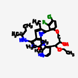 CCOC1C2=C(n3c(=O)nc(N[C@@H](C)CC)c4cc(C)c(nc43)-c3c(ccc(Cl)c3F)OCC1O)C(C)(C(C)C)NC=C2